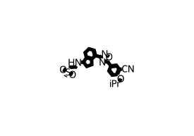 CC(C)Oc1ccc(-c2nc(C3=CCCC4=C3CCC4NCCS(C)(=O)=O)no2)cc1C#N